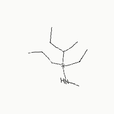 CCC[Si](CC)(NC)C(C)CC